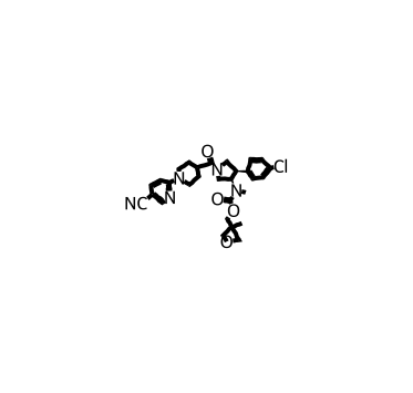 CN(C(=O)OCC1(C)COC1)[C@@H]1CN(C(=O)C2CCN(c3ccc(C#N)cn3)CC2)C[C@H]1c1ccc(Cl)cc1